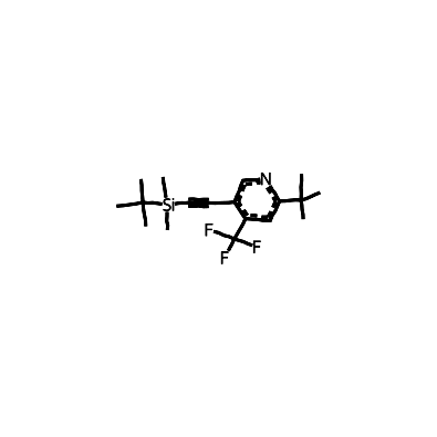 CC(C)(C)c1cc(C(F)(F)F)c(C#C[Si](C)(C)C(C)(C)C)cn1